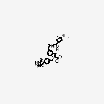 CC(Cc1ccc2c(c1)cc(C(=O)O)n2Cc1ccc(S(=O)(=O)NC(F)(F)F)cc1)NCC(O)c1ccc(N)nc1